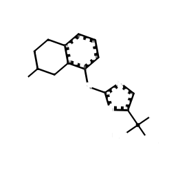 CC(C)(C)c1cnc(Nc2cccc3c2CC(O)CC3)o1